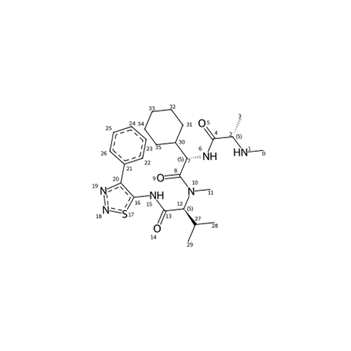 CN[C@@H](C)C(=O)N[C@H](C(=O)N(C)[C@H](C(=O)Nc1snnc1-c1ccccc1)C(C)C)C1CCCCC1